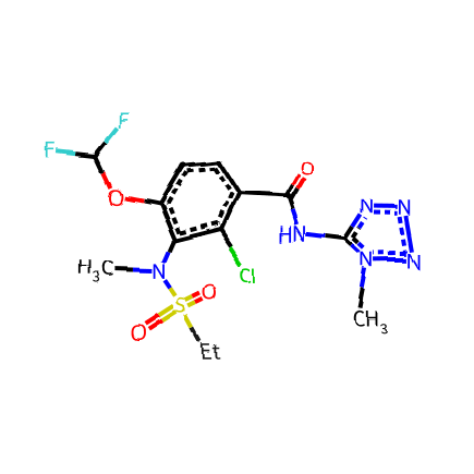 CCS(=O)(=O)N(C)c1c(OC(F)F)ccc(C(=O)Nc2nnnn2C)c1Cl